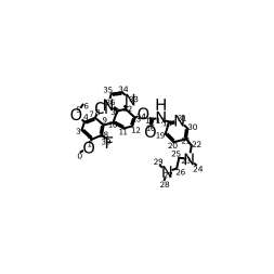 COc1cc(OC)c(Cl)c(-c2ccc(OC(=O)Nc3ccc(CN(C)CCN(C)C)cn3)c3nccnc23)c1F